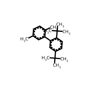 Cc1ccc(C)c(-c2cc(C(C)(C)C)ccc2C(C)(C)C)c1